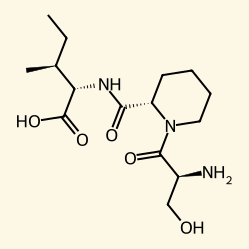 CC[C@H](C)[C@H](NC(=O)[C@@H]1CCCCN1C(=O)[C@@H](N)CO)C(=O)O